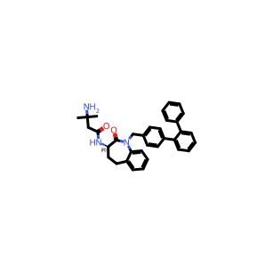 CC(C)(N)CC(=O)N[C@@H]1CCc2ccccc2N(Cc2ccc(-c3ccccc3-c3ccccc3)cc2)C1=O